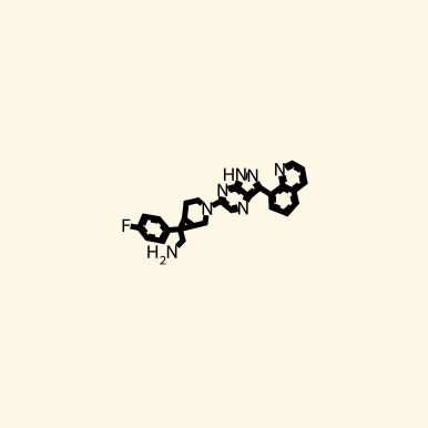 NCC1(c2ccc(F)cc2)C2CCN(c3cnc4c(-c5cccc6cccnc56)n[nH]c4n3)CC21